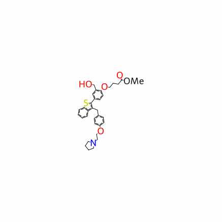 COC(=O)CCCOc1ccc(-c2sc3ccccc3c2Cc2ccc(OCCN3CCCC3)cc2)cc1CO